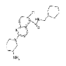 NC1CCCN(c2ccc3c(C(=O)NCC4CCCCC4)c(Cl)ccc3n2)C1